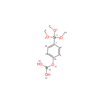 CO[Si](OC)(OC)c1ccc(OB(O)O)cc1